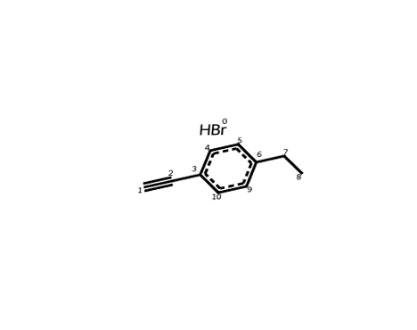 Br.C#Cc1ccc(CC)cc1